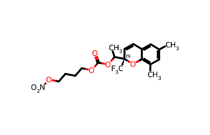 Cc1cc(C)c2c(c1)C=C[C@](C(C)OC(=O)OCCCCO[N+](=O)[O-])(C(F)(F)F)O2